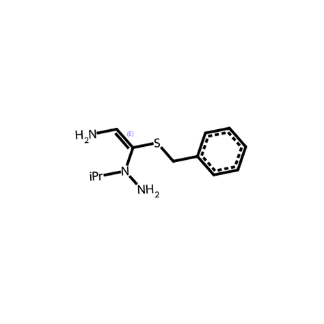 CC(C)N(N)/C(=C\N)SCc1ccccc1